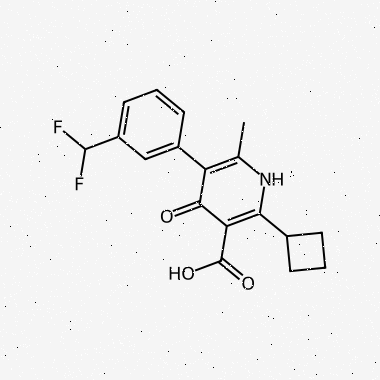 Cc1[nH]c(C2CCC2)c(C(=O)O)c(=O)c1-c1cccc(C(F)F)c1